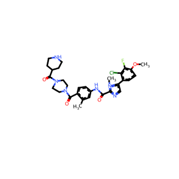 COc1ccc(-c2cnc(C(=O)Nc3ccc(C(=O)N4CCN(C(=O)C5CCNCC5)CC4)c(C)c3)n2C)c(Cl)c1F